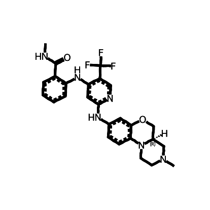 CNC(=O)c1ccccc1Nc1cc(Nc2ccc3c(c2)OC[C@H]2CN(C)CCN32)ncc1C(F)(F)F